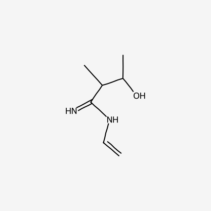 C=CNC(=N)C(C)C(C)O